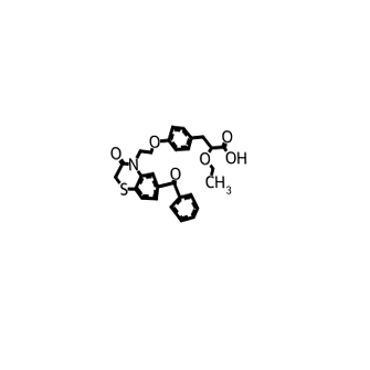 CCOC(Cc1ccc(OCCN2C(=O)CSc3ccc(C(=O)c4ccccc4)cc32)cc1)C(=O)O